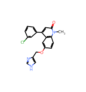 Cn1c(=O)cc(-c2cccc(Cl)c2)c2cc(OCc3c[nH]cn3)ccc21